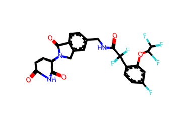 O=C1CCC(N2Cc3cc(CNC(=O)C(F)(F)c4ccc(F)cc4OC(F)C(F)F)ccc3C2=O)C(=O)N1